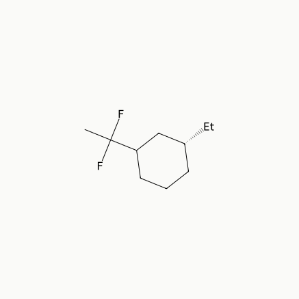 CC[C@@H]1CCCC(C(C)(F)F)C1